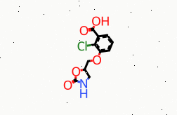 O=C1NCC(COc2cccc(C(=O)O)c2Cl)O1